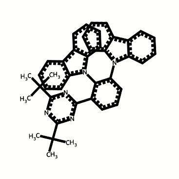 CC(C)(C)c1nc(-c2cccc(-n3c4ccccc4c4ccccc43)c2-n2c3ccccc3c3ccccc32)nc(C(C)(C)C)n1